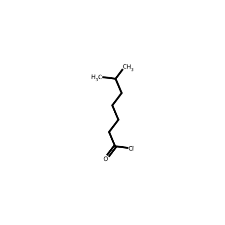 CC(C)CCCCC(=O)Cl